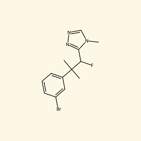 Cn1cnnc1C(F)C(C)(C)c1cccc(Br)c1